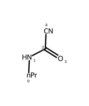 CCCNC(=O)C#N